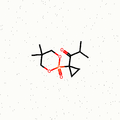 CC(C)C(=O)C1(P2(=O)OCC(C)(C)CO2)CC1